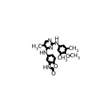 COc1c(C)cc(Nc2ncc(C)c(Nc3ccc4oc(=O)[nH]c4c3)n2)cc1C